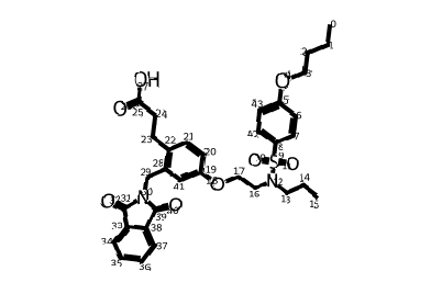 CCCCOc1ccc(S(=O)(=O)N(CCC)CCOc2ccc(CCC(=O)O)c(CN3C(=O)c4ccccc4C3=O)c2)cc1